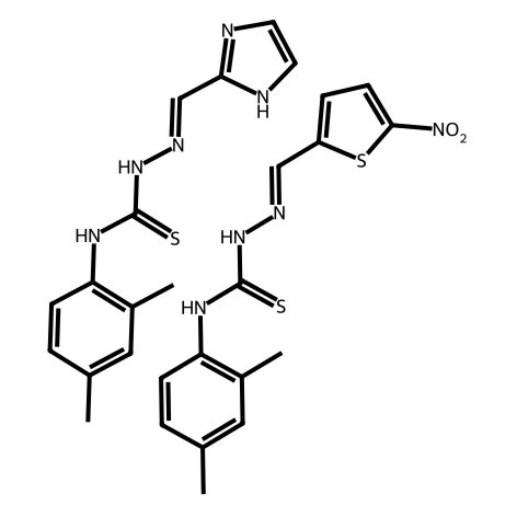 Cc1ccc(NC(=S)NN=Cc2ccc([N+](=O)[O-])s2)c(C)c1.Cc1ccc(NC(=S)NN=Cc2ncc[nH]2)c(C)c1